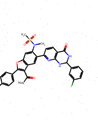 CNC(=O)c1c(-c2ccc(F)cc2)oc2cc(N(C)S(C)(=O)=O)c(-c3ccc4c(n3)NC(c3cccc(F)c3)NC4=O)cc12